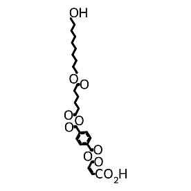 O=C(O)/C=C\C(=O)OC(=O)c1ccc(C(=O)OC(=O)CCCCC(=O)OCCCCCCCCCCO)cc1